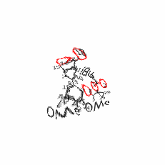 CCC(C)C(=O)OC1(COc2c(-c3ccc4c(c3)COC4=O)ccc(OC)c2OC)CC1